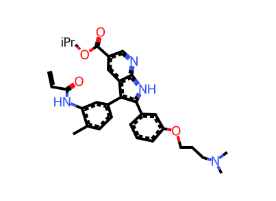 C=CC(=O)Nc1cc(-c2c(-c3cccc(OCCCN(C)C)c3)[nH]c3ncc(C(=O)OC(C)C)cc23)ccc1C